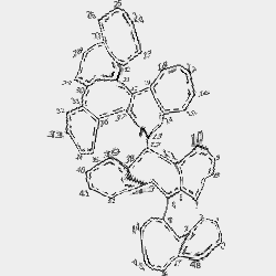 c1ccc2c(-c3c4ccccc4c(-n4c5ccccc5c5c6c7ccccc7ccc6c6ccccc6c54)c4ccccc34)cccc2c1